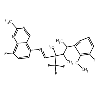 COc1c(F)cccc1C(C)C(C)C(O)(C=Nc1ccc(F)c2nc(C)ncc12)C(F)(F)F